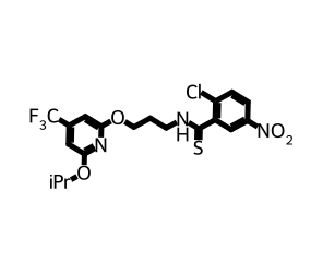 CC(C)Oc1cc(C(F)(F)F)cc(OCCCNC(=S)c2cc([N+](=O)[O-])ccc2Cl)n1